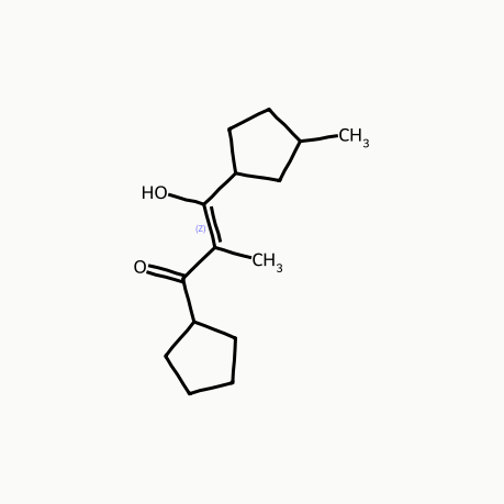 C/C(C(=O)C1CCCC1)=C(/O)C1CCC(C)C1